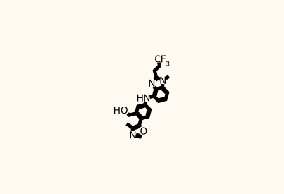 Cc1ncoc1-c1ccc(Nc2cccc3c2nc(CCC(F)(F)F)n3C)cc1CO